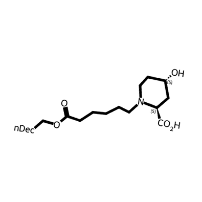 CCCCCCCCCCCOC(=O)CCCCCN1CC[C@H](O)C[C@H]1C(=O)O